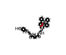 O=C(CNCCN1CCC(OC(=O)N(c2ccccc2-c2ccccc2)c2ccccc2-c2ccccc2)CC1)c1ccc(C(=O)NCCNCc2ccc(O)cc2)s1